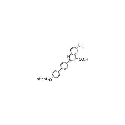 CCCCCCCOc1ccc(-c2ccc(-c3cc(C(=O)O)c4cc(C(F)(F)F)ccc4n3)cc2)cc1